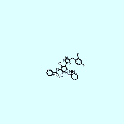 NC1(Cn2cc(-c3nnc(Cc4ccc(F)cc4F)s3)c(=O)c(OCc3ccccc3)c2C(=O)O)CCCCC1